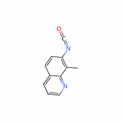 Cc1c(N=C=O)ccc2cccnc12